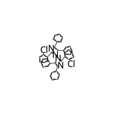 Clc1ccccc1-c1nc(-c2ccccc2)c(-c2ccccc2)n1-n1c(-c2ccccc2Cl)nc(-c2ccccc2)c1-c1ccccc1